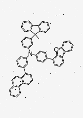 CC1(c2cccc(N(c3ccc(-c4cccc5c4oc4ccccc45)cc3)c3cccc(-c4cccc5c4ccc4ccccc45)c3)c2)c2ccccc2-c2ccccc21